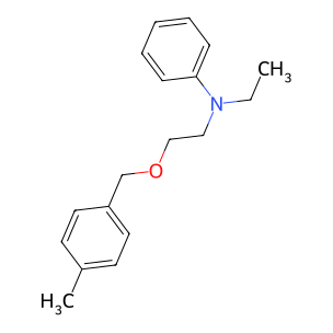 CCN(CCOCc1ccc(C)cc1)c1ccccc1